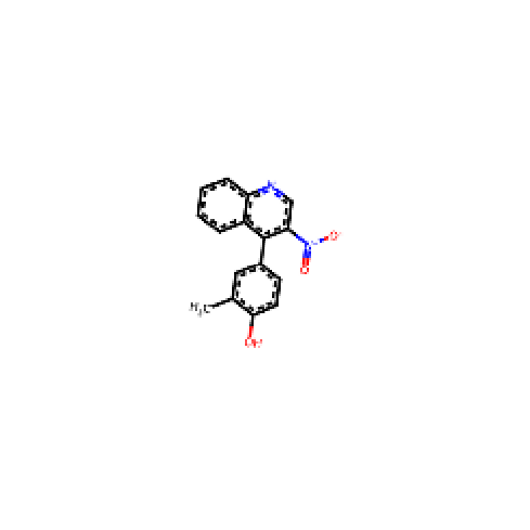 Cc1cc(-c2c([N+](=O)[O-])cnc3ccccc23)ccc1O